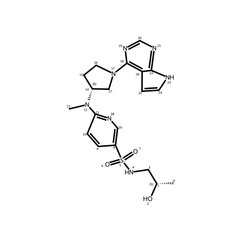 C[C@H](O)CNS(=O)(=O)c1ccc(N(C)[C@@H]2CCN(c3ncnc4[nH]ccc34)C2)nc1